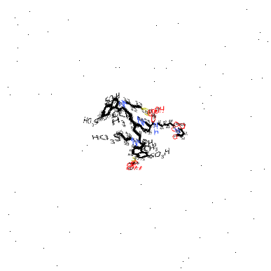 CC1(C)C(/C=C/C(=C/C=C2/N(CCCSOOO)c3ccc4c(S(=O)(=O)O)cc(S(=O)(=O)O)cc4c3C2(C)C)c2ccc(C(=O)NCCCCCC(=O)ON3C(=O)CCC3=O)cn2)=[N+](CCCS(=O)(=O)O)c2ccc3c(SOOO)cc(S(=O)(=O)O)cc3c21